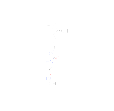 CNOCCNC(=O)NCCCCC(C)C